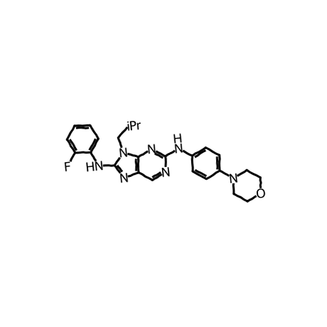 CC(C)Cn1c(Nc2ccccc2F)nc2cnc(Nc3ccc(N4CCOCC4)cc3)nc21